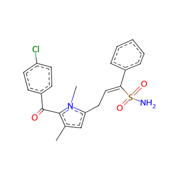 Cc1cc(CC=C(c2ccccc2)S(N)(=O)=O)n(C)c1C(=O)c1ccc(Cl)cc1